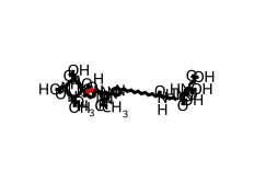 CN(C)c1nc(Nc2ccc(C[C@@H]3CN(CC(=O)O)CCN(CC(=O)O)CCN(CC(=O)O)CCN3CC(=O)O)cc2)nc(N2CCN(CCCCCCCCCCC(=O)NCCCC[C@H](NC(=O)N[C@@H](CCC(=O)O)C(=O)O)C(=O)O)CC2)n1